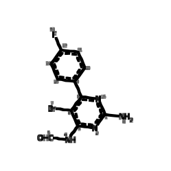 Nc1nc(NC=O)c(Br)c(-c2ccc(F)cc2)n1